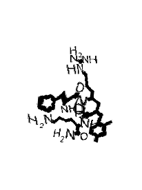 Cc1ccc(CC(CC(CCCNC(=N)N)NC(=O)C(N)Cc2ccccc2)C(=O)NC(CCCCN)C(N)=O)c(C)c1